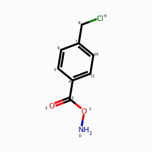 NOC(=O)c1ccc(CCl)cc1